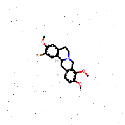 COc1cc2c(cc1Br)[C@@H]1Cc3ccc(OC)c(OC)c3CN1CC2